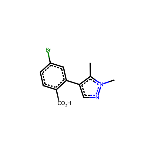 Cc1c(-c2cc(Br)ccc2C(=O)O)cnn1C